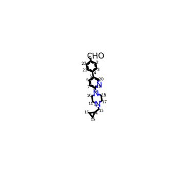 O=Cc1ccc(-c2ccc(N3CCN(CC4CC4)CC3)nc2)cc1